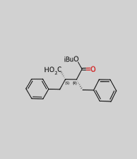 CC(C)COC(=O)[C@H](Cc1ccccc1)[C@H](Cc1ccccc1)C(=O)O